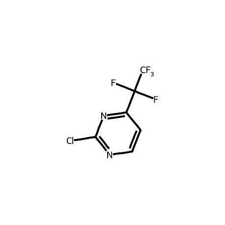 FC(F)(F)C(F)(F)c1ccnc(Cl)n1